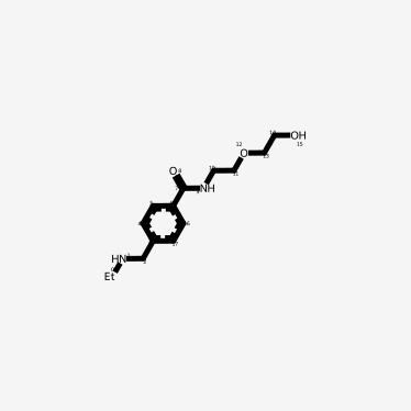 CCNCc1ccc(C(=O)NCCOCCO)cc1